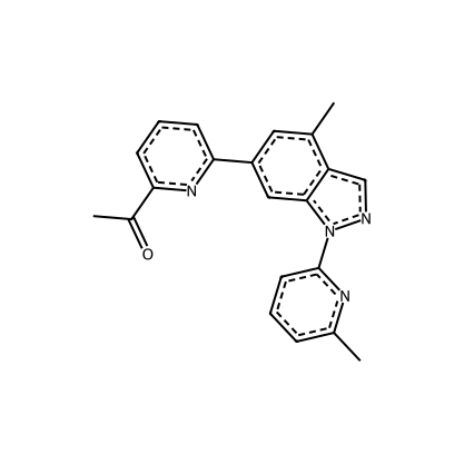 CC(=O)c1cccc(-c2cc(C)c3cnn(-c4cccc(C)n4)c3c2)n1